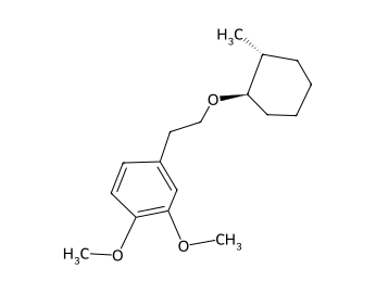 COc1ccc(CCO[C@@H]2CCCC[C@H]2C)cc1OC